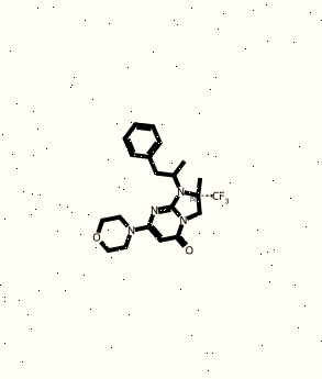 CC(Cc1ccccc1)N1c2nc(N3CCOCC3)cc(=O)n2C[C@@]1(C)C(F)(F)F